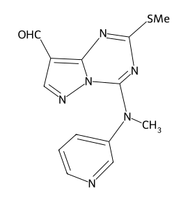 CSc1nc(N(C)c2cccnc2)n2ncc(C=O)c2n1